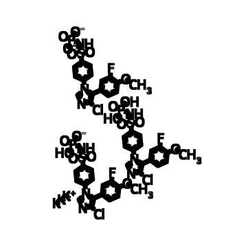 COc1ccc(-c2c(Cl)ncn2-c2ccc(S(=O)(=O)NP(=O)(O)O)cc2)cc1F.COc1ccc(-c2c(Cl)ncn2-c2ccc(S(=O)(=O)NP(=O)([O-])O)cc2)cc1F.COc1ccc(-c2c(Cl)ncn2-c2ccc(S(=O)(=O)NP(=O)([O-])[O-])cc2)cc1F.[K+].[K+].[K+]